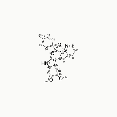 COc1cc2[nH]cc(-c3cc4cccnc4n3S(=O)(=O)c3ccc(C)cc3)c2nc1OC